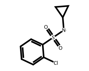 O=S(=O)([N]C1CC1)c1ccccc1Cl